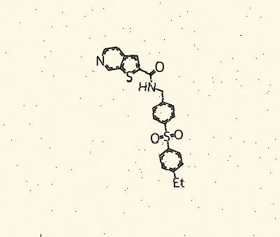 CCc1ccc(S(=O)(=O)c2ccc(CNC(=O)c3cc4ccncc4s3)cc2)cc1